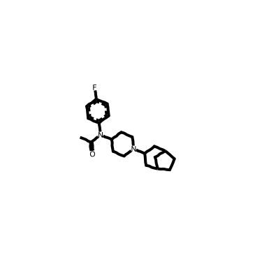 CC(=O)N(c1ccc(F)cc1)C1CCN(C2CC3CCC(C3)C2)CC1